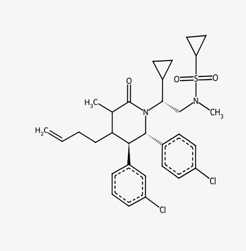 C=CCCC1C(C)C(=O)N([C@@H](CN(C)S(=O)(=O)C2CC2)C2CC2)[C@H](c2ccc(Cl)cc2)[C@H]1c1cccc(Cl)c1